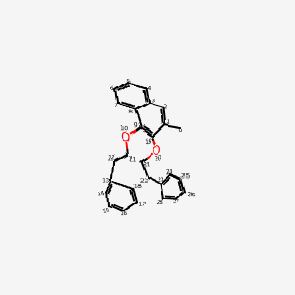 Cc1cc2ccccc2c(OCCc2ccccc2)c1OCCc1ccccc1